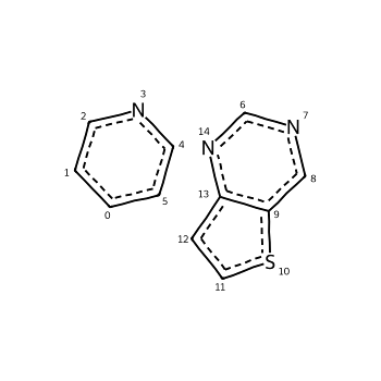 c1ccncc1.c1ncc2sccc2n1